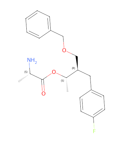 C[C@H](N)C(=O)O[C@@H](C)[C@@H](COCc1ccccc1)Cc1ccc(F)cc1